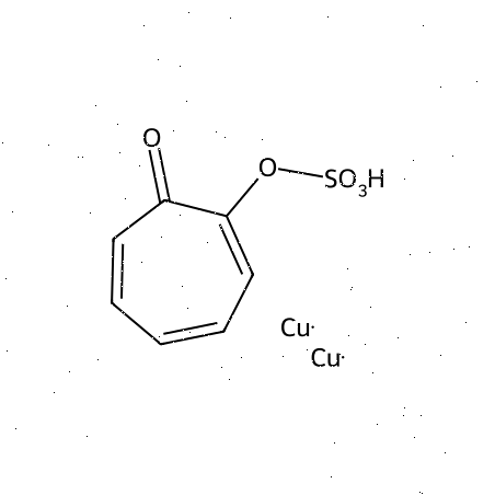 O=c1cccccc1OS(=O)(=O)O.[Cu].[Cu]